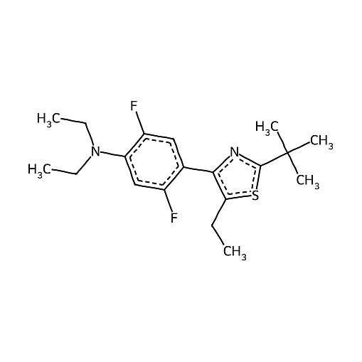 CCc1sc(C(C)(C)C)nc1-c1cc(F)c(N(CC)CC)cc1F